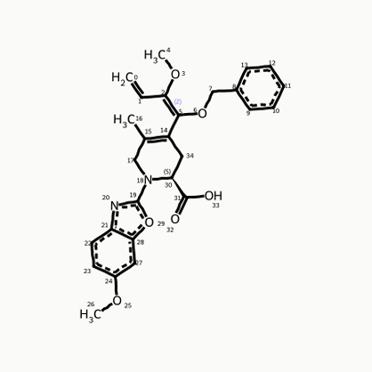 C=C/C(OC)=C(/OCc1ccccc1)C1=C(C)CN(c2nc3ccc(OC)cc3o2)[C@H](C(=O)O)C1